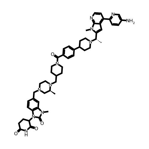 C[C@H]1CN(Cc2ccc3c(c2)n(C)c(=O)n3C2CCC(=O)NC2=O)CCN1CC1CCN(C(=O)c2ccc(C3CCN([C@@H](C)c4cc5c(-c6ccc(N)cn6)ccnc5n4C)CC3)cc2)CC1